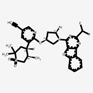 C#Cc1cnc(O[C@H]2C[C@@H](C(C)=O)N(c3nc(C(F)F)nc4c3oc3ccccc34)C2)c([C@@]2(F)CC(C)(C)S(=O)(=O)C[C@@H]2C)c1